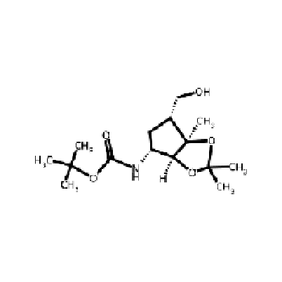 CC(C)(C)OC(=O)N[C@@H]1C[C@H](CO)[C@@]2(C)OC(C)(C)O[C@@H]12